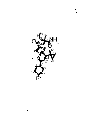 CCN(C(=O)c1cn2nc(-c3ccc(F)cc3)cc(C3(C)CC3)c2n1)C(C)(C)C(N)=O